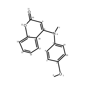 COc1ccc(N(C)c2cc(=O)oc3ccccc23)cc1